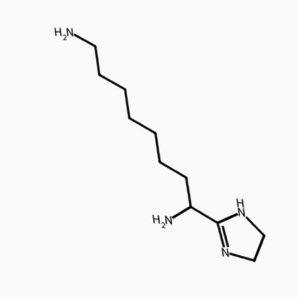 NCCCCCCCC(N)C1=NCCN1